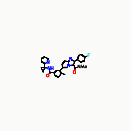 CNC(=O)C1C(c2ccc(F)cc2)N=C2C=CC(c3cc(C(=O)NC4(c5ccccn5)CC4)ccc3C)=CN21